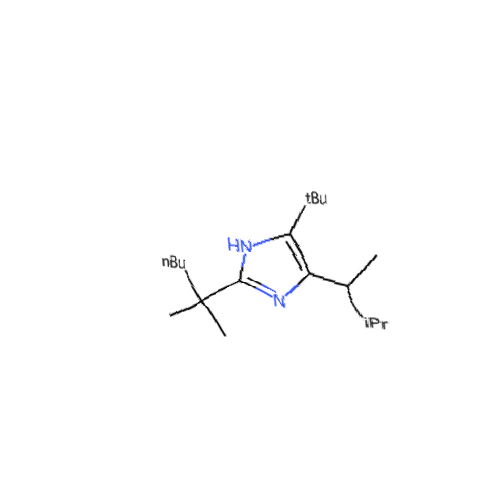 CCCCC(C)(C)c1nc(C(C)C(C)C)c(C(C)(C)C)[nH]1